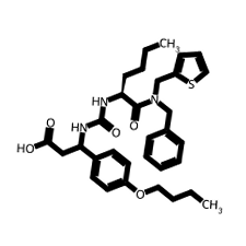 CCCCOc1ccc(C(CC(=O)O)NC(=O)N[C@@H](CCCC)C(=O)N(Cc2ccccc2)Cc2cccs2)cc1